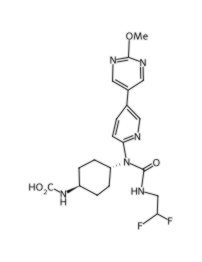 COc1ncc(-c2ccc(N(C(=O)NCC(F)F)[C@H]3CC[C@H](NC(=O)O)CC3)nc2)cn1